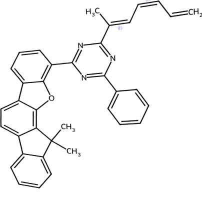 C=C/C=C\C=C(/C)c1nc(-c2ccccc2)nc(-c2cccc3c2oc2c4c(ccc23)-c2ccccc2C4(C)C)n1